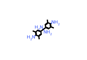 Cc1cc(C(N)(N)c2cc(C)c(N)c(C)c2)cc(C)c1N